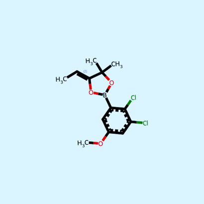 C/C=C1\OB(c2cc(OC)cc(Cl)c2Cl)OC1(C)C